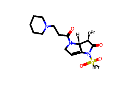 CCC[C@H]1C(=O)N(S(=O)(=O)CCC)C2=CCN(C(=O)CCN3CCCCC3)[C@@H]21